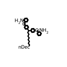 CCCCCCCCCCCCCCCCCCC(c1ccc(Oc2ccccc2N)cc1)c1ccc(Oc2ccccc2N)cc1